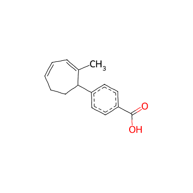 CC1=CC=CCCC1c1ccc(C(=O)O)cc1